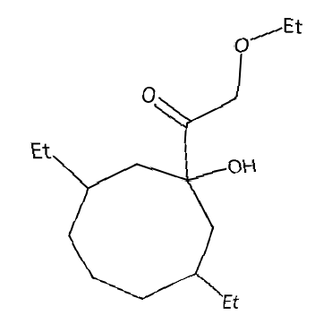 CCOCC(=O)C1(O)CC(CC)CCCC(CC)C1